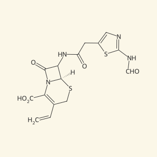 C=CC1=C(C(=O)O)N2C(=O)C(NC(=O)Cc3cnc(NC=O)s3)[C@H]2SC1